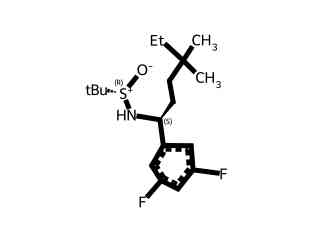 CCC(C)(C)CC[C@H](N[S@@+]([O-])C(C)(C)C)c1cc(F)cc(F)c1